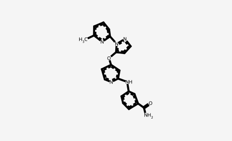 Cc1cccc(-n2nccc2Oc2ccnc(Nc3cccc(C(N)=O)c3)c2)n1